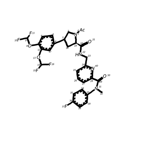 CC(=O)N1CC(c2ccc(OC(F)F)c(OC(F)F)c2)C[C@@H]1C(=O)NCc1cccc(C(=O)N(C)c2ccc(F)cc2)n1